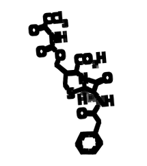 O=C(Cc1ccccc1)N[C@@H]1C(=O)N2C(C(=O)O)=C(COC(=O)NC(=O)C(Cl)(Cl)Cl)CS[C@H]12